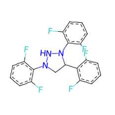 Fc1cccc(F)c1C1CN(c2c(F)cccc2F)NN1c1c(F)cccc1F